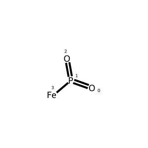 O=[P](=O)[Fe]